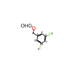 O=COCc1cc(F)cc(F)c1